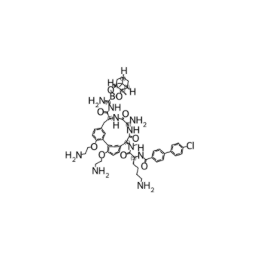 CN(C(=O)[C@H](CCCCN)NC(=O)c1ccc(-c2ccc(Cl)cc2)cc1)[C@@H]1C(=O)N[C@@H](N)C(=O)N[C@H](C(=O)N[C@@H](N)B2O[C@@H]3C[C@@H]4C[C@@H](C4(C)C)[C@]3(C)O2)Cc2ccc(OCCN)c(c2)-c2cc1ccc2OCCN